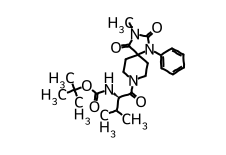 CC(C)[C@@H](NC(=O)OC(C)(C)C)C(=O)N1CCC2(CC1)C(=O)N(C)C(=O)N2c1ccccc1